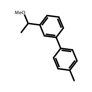 COC(C)c1cccc(-c2ccc(C)cc2)c1